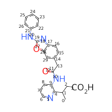 CC(CC(=O)O)c1ncccc1NC(=O)Cc1ccc2nc(Nc3ccccc3)oc2c1